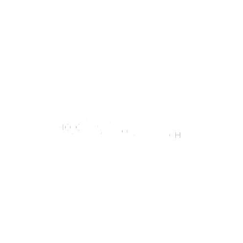 Cc1ccc(Oc2cccc3cc(C(=O)O)sc23)cc1